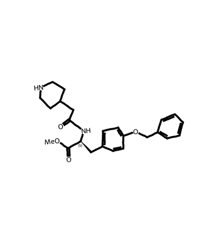 COC(=O)[C@H](Cc1ccc(OCc2ccccc2)cc1)NC(=O)CC1CCNCC1